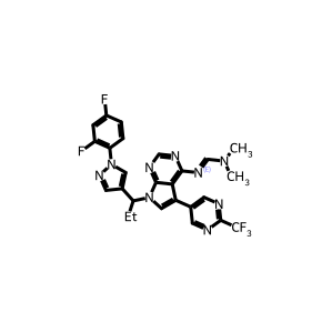 CCC(c1cnn(-c2ccc(F)cc2F)c1)n1cc(-c2cnc(C(F)(F)F)nc2)c2c(/N=C/N(C)C)ncnc21